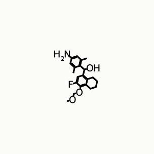 COCOc1c(F)cc(C(O)c2c(C)cc(N)cc2C)c2c1CCCC2